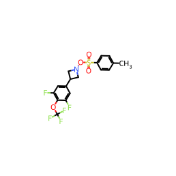 Cc1ccc(S(=O)(=O)ON2CC(c3cc(F)c(OC(F)(F)F)c(F)c3)C2)cc1